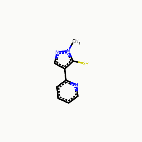 Cn1ncc(-c2ccccn2)c1S